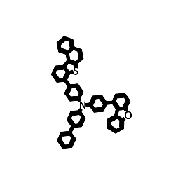 c1ccc(-c2ccc(N(c3ccc(-c4cccc5c4sc4ccc6ccccc6c45)cc3)c3ccc(-c4cccc5oc6ccccc6c45)cc3)cc2)cc1